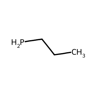 CCCP